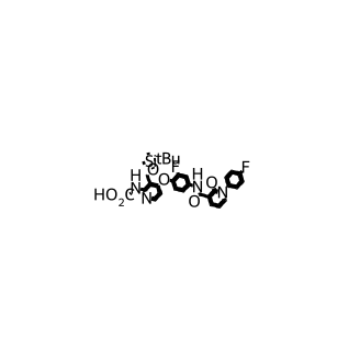 CC(C)(C)[Si](C)(C)OCc1c(Oc2ccc(NC(=O)c3cccn(-c4ccc(F)cc4)c3=O)cc2F)ccnc1NC(=O)O